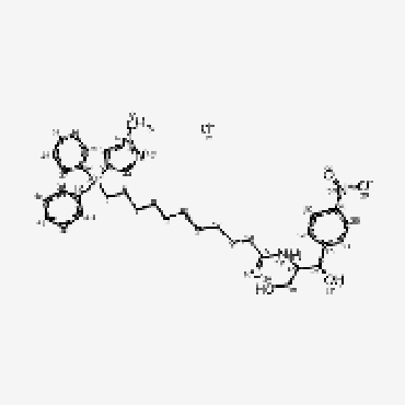 Cn1cc([P+](CCCCCCCCCCC(=O)N[C@H](CO)[C@H](O)c2ccc([N+](=O)[O-])cc2)(c2ccccc2)c2ccccc2)cn1.[Cl-]